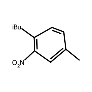 CCC(C)c1ccc(C)cc1[N+](=O)[O-]